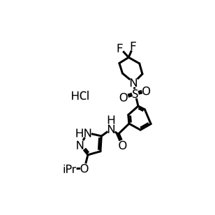 CC(C)Oc1cc(NC(=O)c2cccc(S(=O)(=O)N3CCC(F)(F)CC3)c2)[nH]n1.Cl